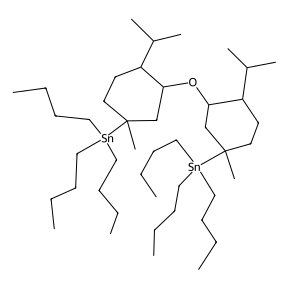 CCC[CH2][Sn]([CH2]CCC)([CH2]CCC)[C]1(C)CCC(C(C)C)C(OC2C[C](C)([Sn]([CH2]CCC)([CH2]CCC)[CH2]CCC)CCC2C(C)C)C1